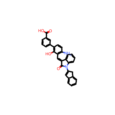 Nc1ccc(-c2cccc(C(=O)O)c2)c(O)c1C=C1C(=O)N(C2=Cc3ccccc3C2)c2ccccc21